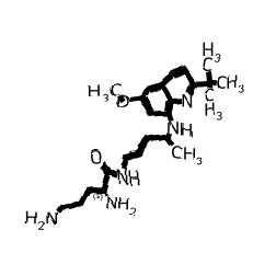 COc1cc(NC(C)CCCNC(=O)[C@@H](N)CCCN)c2nc(C(C)(C)C)ccc2c1